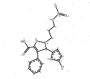 O=C(O)C1=C(c2ccccc2)C(c2ccc(Cl)o2)N(CCCO[N+](=O)[O-])O1